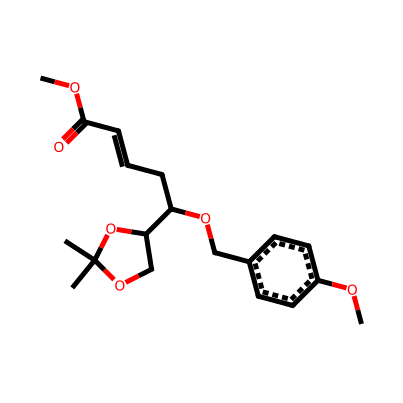 COC(=O)C=CCC(OCc1ccc(OC)cc1)C1COC(C)(C)O1